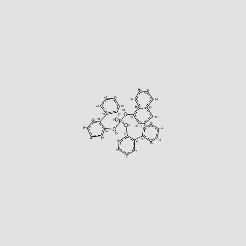 O=P(Oc1ccccc1-c1ccccc1)(Oc1ccccc1-c1ccccc1)Oc1cccc2ccccc12